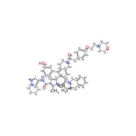 Cc1c(C(=O)Nc2cnn3c2CCCC3)c(-c2ccc(O)cc2)c(-c2cc3c(cc2C(=O)N2Cc4ccccc4C[C@H]2C)CN(C(=O)Cc2ccc(OCCN4CCOCC4)cc2)CC3)n1C